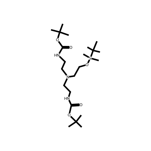 CC(C)(C)OC(=O)NCCN(CCNC(=O)OC(C)(C)C)CCO[Si](C)(C)C(C)(C)C